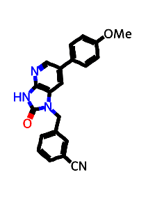 COc1ccc(-c2cnc3[nH]c(=O)n(Cc4cccc(C#N)c4)c3c2)cc1